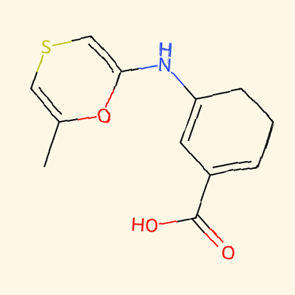 CC1=CSC=C(NC2=CC(C(=O)O)=CCC2)O1